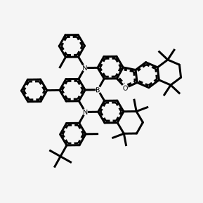 Cc1cc(C(C)(C)C)ccc1N1c2cc3c(cc2B2c4c1cc(-c1ccccc1)cc4N(c1ccccc1C)c1ccc4c(oc5cc6c(cc54)C(C)(C)CCC6(C)C)c12)C(C)(C)CCC3(C)C